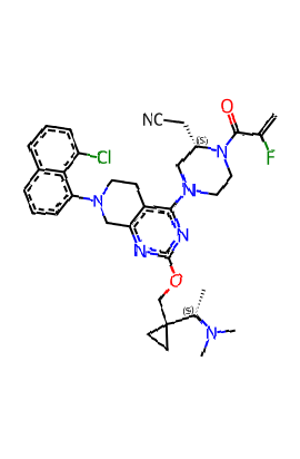 C=C(F)C(=O)N1CCN(c2nc(OCC3([C@H](C)N(C)C)CC3)nc3c2CCN(c2cccc4cccc(Cl)c24)C3)C[C@@H]1CC#N